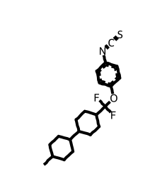 CC1CCC(C2CCC(C(F)(F)Oc3ccc(N=C=S)cc3)CC2)CC1